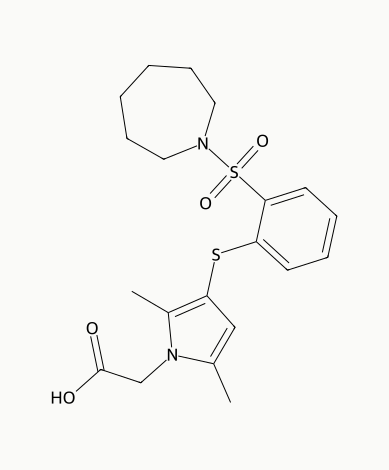 Cc1cc(Sc2ccccc2S(=O)(=O)N2CCCCCC2)c(C)n1CC(=O)O